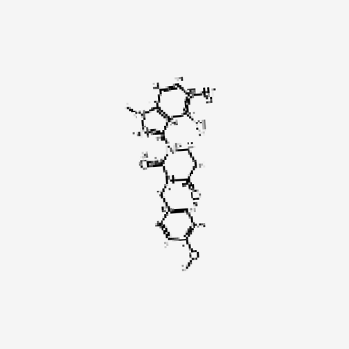 COc1ccc(CN2C(=O)CCN(c3nn(C)c4ccc(Br)c(Cl)c34)C2=O)cc1